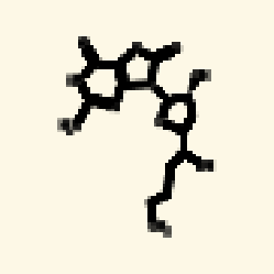 CCCCC(O)[C@@H]1C[C@@H](O)[C@H](n2c(=O)sc3c(=O)[nH]c(N)nc32)O1